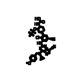 COc1ccc(CN(c2nc(Nc3cc(C#N)cc(N4CC[C@@H](NC(=O)O)[C@H](O[Si](C)(C)C(C)(C)C)C4)c3Cl)nn3c(C#N)cnc23)C2CC2)cc1